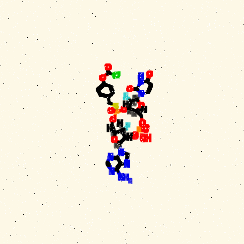 Nc1ncnc2c1ncn2[C@@H]1O[C@@H]2COP(=O)(SCc3ccc(OC(=O)Cl)cc3)O[C@H]3[C@@H](F)[C@H](n4ccc(=O)[nH]c4=O)O[C@@H]3COP(=O)(O)O[C@@H]1[C@@H]2F